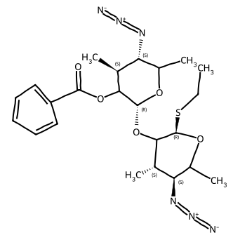 CCS[C@H]1OC(C)[C@@H](N=[N+]=[N-])[C@H](C)C1O[C@H]1OC(C)[C@@H](N=[N+]=[N-])[C@H](C)C1OC(=O)c1ccccc1